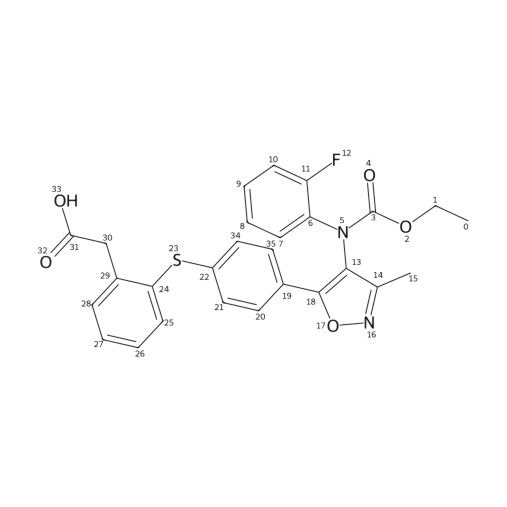 CCOC(=O)N(c1ccccc1F)c1c(C)noc1-c1ccc(Sc2ccccc2CC(=O)O)cc1